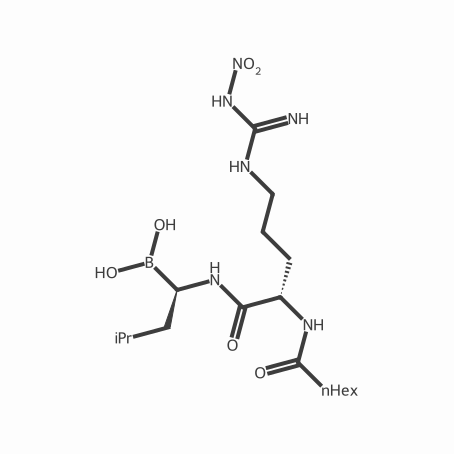 CCCCCCC(=O)N[C@@H](CCCNC(=N)N[N+](=O)[O-])C(=O)N[C@@H](CC(C)C)B(O)O